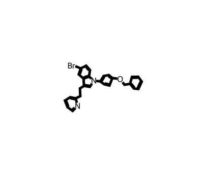 Brc1ccc2c(c1)c(CCc1ccccn1)cn2-c1ccc(OCc2ccccc2)cc1